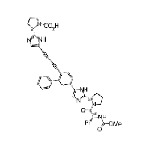 COC(=O)N[C@H](C(=O)N1CCC[C@H]1c1ncc(-c2ccc(C#CC#Cc3cnc([C@@H]4CCCN4C(=O)O)[nH]3)c(-c3ccccc3)c2)[nH]1)C(C)C